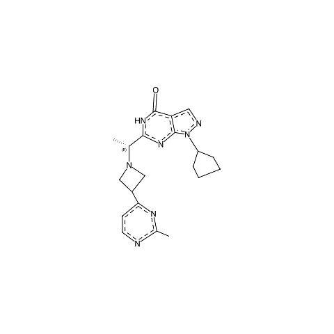 Cc1nccc(C2CN([C@H](C)c3nc4c(cnn4C4CCCC4)c(=O)[nH]3)C2)n1